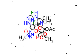 CC(=O)O[C@@H]1C(Oc2cc(F)c(Nc3ncc(F)c(N[C@@H]4C[C@@H]5CCCN5C(C)(C)C4)n3)cc2-n2nnn(C)c2=O)OC[C@@H](OC(C)=O)[C@H]1OC(C)O